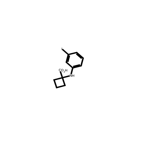 O=C(O)C1(Nc2cccc(I)c2)CCC1